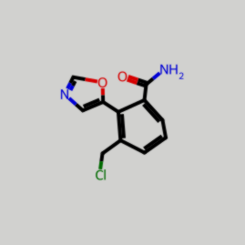 NC(=O)c1cccc(CCl)c1-c1cnco1